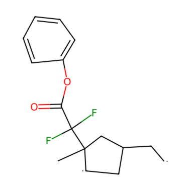 [CH2]CC1C[CH]C(C)(C(F)(F)C(=O)Oc2ccccc2)C1